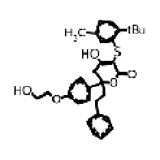 Cc1ccc(C(C)(C)C)c(SC2=C(O)CC(CCc3ccccc3)(c3ccc(OCCO)cc3)OC2=O)c1